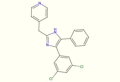 Clc1cc(Cl)cc(-c2nc(Cc3ccncc3)[nH]c2-c2ccccc2)c1